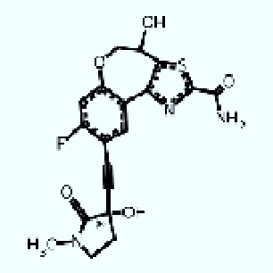 CN1CC[C@@](O)(C#Cc2cc3c(cc2F)OCC(O)c2sc(C(N)=O)nc2-3)C1=O